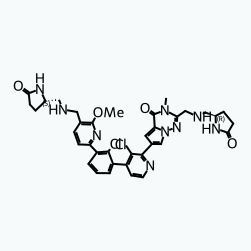 COc1nc(-c2cccc(-c3ccnc(-c4cc5c(=O)n(C)c(CNC[C@H]6CCC(=O)N6)nn5c4)c3Cl)c2Cl)ccc1CNC[C@@H]1CCC(=O)N1